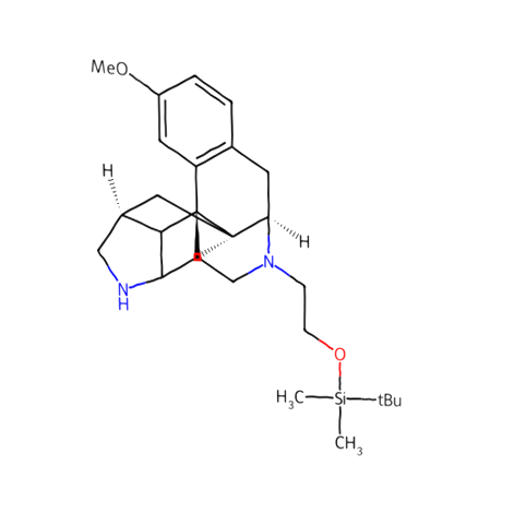 COc1ccc2c(c1)[C@]13CCN(CCO[Si](C)(C)C(C)(C)C)[C@H](C2)[C@]12CCC1NC[C@@H](C2)C13